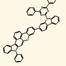 c1ccc(-c2nc(-c3ccccc3)nc(-n3c4ccccc4c4ccc(-c5ccc6c(c5)Oc5cc7c(c8cccc-6c58)c5ccccc5n7-c5ccccc5)cc43)n2)cc1